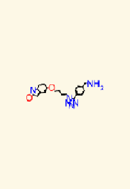 NCc1ccc(-c2nnnn2CCCCOc2ccc3c(c2)=CC(=O)N=3)cc1